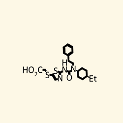 CC[C@H]1CC[C@H](N(CCc2ccccc2)C(=O)Nc2ncc(SCC(=O)O)s2)CC1